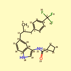 CC(Cc1ccc(C(F)(F)F)cc1)Cc1ccc2[nH]cc(NC(=O)C3CCC3)c2c1